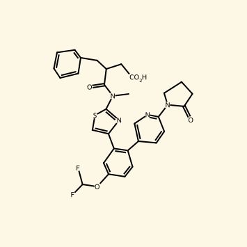 CN(C(=O)C(CC(=O)O)Cc1ccccc1)c1nc(-c2cc(OC(F)F)ccc2-c2ccc(N3CCCC3=O)nc2)cs1